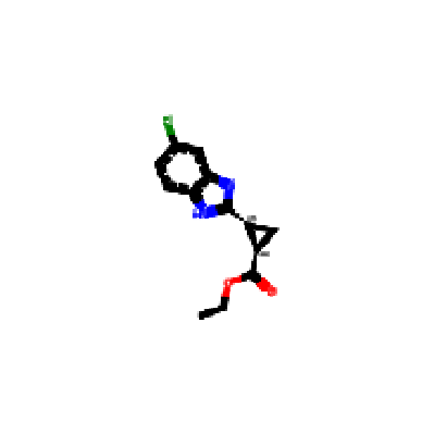 CCOC(=O)[C@@H]1C[C@H]1c1nc2cc(Cl)ccc2[nH]1